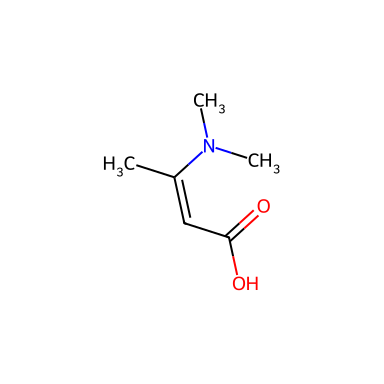 CC(=CC(=O)O)N(C)C